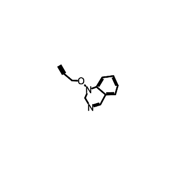 C#CCON1CN=Cc2ccccc21